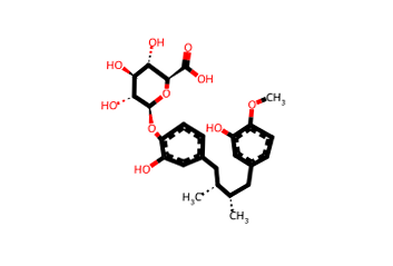 COc1ccc(C[C@H](C)[C@H](C)Cc2ccc(O[C@@H]3O[C@H](C(=O)O)[C@@H](O)[C@H](O)[C@H]3O)c(O)c2)cc1O